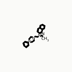 Cc1nc2c3ccccc3ccc2n1CCN1CCN(c2ccccc2)CC1